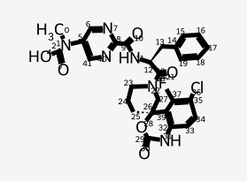 CN(C(=O)O)c1cnc(C(=O)N[C@@H](Cc2ccccc2)C(=O)N2CCC[C@@]3(C2)OC(=O)Nc2ccc(Cl)c(F)c23)nc1